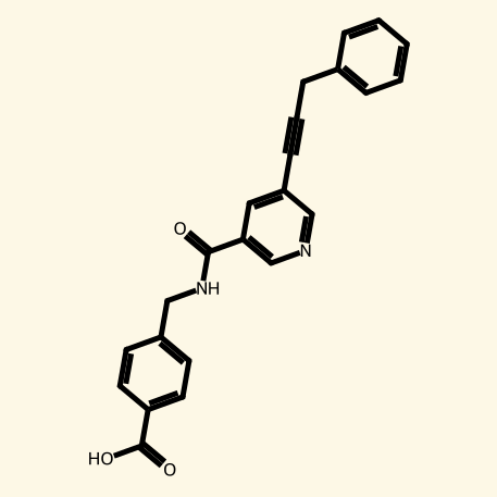 O=C(O)c1ccc(CNC(=O)c2cncc(C#CCc3ccccc3)c2)cc1